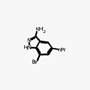 CCCc1cc(Br)c2[nH]nc(N)c2c1